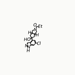 CCC(=O)N1C[C@@H]2C[C@@](O)(c3cc(Cl)cc4[nH]ncc34)C[C@@H]2C1